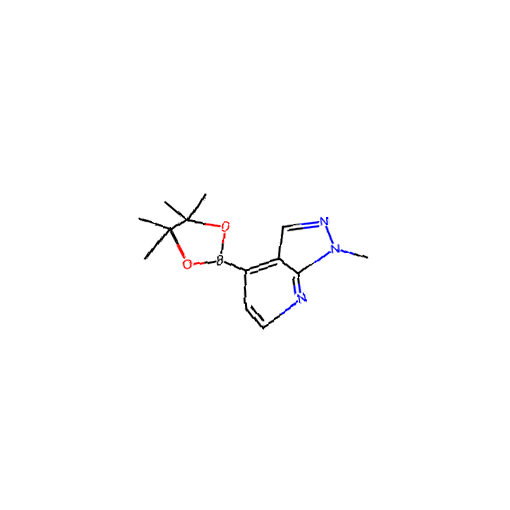 Cn1ncc2c(B3OC(C)(C)C(C)(C)O3)ccnc21